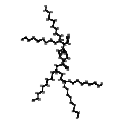 CCCCCCCCCN(CCCCCCCCC)CCN(CCCCCCCCC)CC(=O)N1CC2CC1CN2C(C=O)N(CCCCCCCCC)CCCCCCCCC